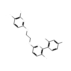 Nc1nc(NCCNc2ccc([N+](=O)[O-])c(-c3ccc(Cl)cc3Cl)n2)ccc1[N+](=O)[O-]